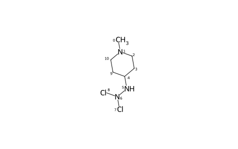 CN1CCC(NN(Cl)Cl)CC1